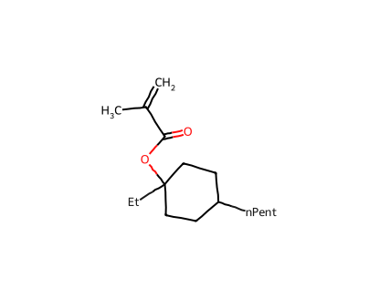 C=C(C)C(=O)OC1(CC)CCC(CCCCC)CC1